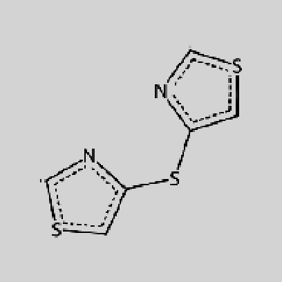 [c]1nc(Sc2cs[c]n2)cs1